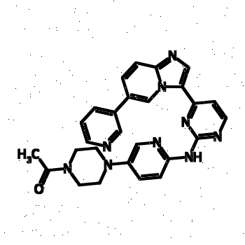 CC(=O)N1CCN(c2ccc(Nc3nccc(-c4cnc5ccc(-c6cccnc6)cn45)n3)nc2)CC1